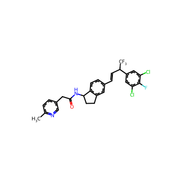 Cc1ccc(CC(=O)NC2CCc3cc(/C=C/C(c4cc(Cl)c(F)c(Cl)c4)C(F)(F)F)ccc32)cn1